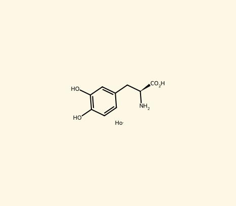 N[C@@H](Cc1ccc(O)c(O)c1)C(=O)O.[Ho]